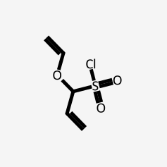 C=COC(C=C)S(=O)(=O)Cl